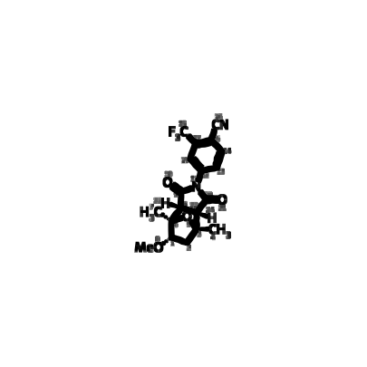 CO[C@H]1C[C@]2(C)O[C@]1(C)[C@@H]1C(=O)N(c3ccc(C#N)c(C(F)(F)F)c3)C(=O)[C@@H]12